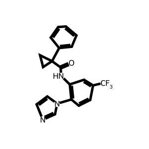 O=C(Nc1cc(C(F)(F)F)ccc1-n1ccnc1)C1(c2ccccc2)CC1